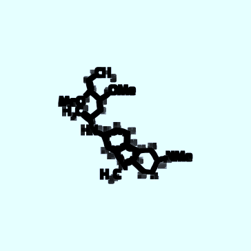 C=C(/C=C(OC)\C(=C/C)OC)Nc1ccc2c3c(n(C)c2c1)CCC(NC)C3